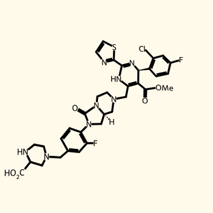 COC(=O)C1=C(CN2CCN3C(=O)N(c4ccc(CN5CCNC(C(=O)O)C5)cc4F)C[C@@H]3C2)NC(c2nccs2)=N[C@H]1c1ccc(F)cc1Cl